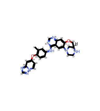 Cc1cc(Nc2ncnc3cc4c(cc23)N2CCN[C@H](CO4)C2)ccc1Oc1ccn2ncnc2c1